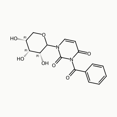 O=C(c1ccccc1)n1c(=O)ccn(C2OC[C@@H](O)[C@@H](O)[C@H]2O)c1=O